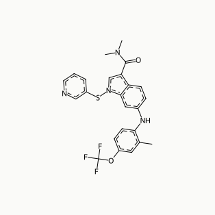 Cc1cc(OC(F)(F)F)ccc1Nc1ccc2c(C(=O)N(C)C)cn(Sc3cccnc3)c2c1